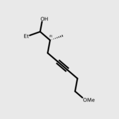 CCC(O)[C@H](C)CC#CCCOC